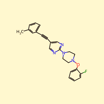 Cc1cccc(C#Cc2cnc(N3CCN(Oc4ccccc4F)CC3)nc2)c1